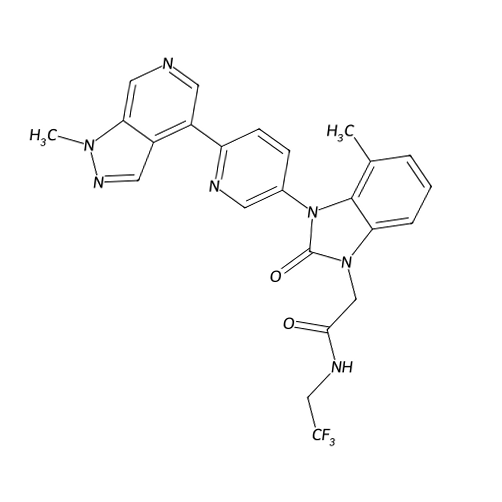 Cc1cccc2c1n(-c1ccc(-c3cncc4c3cnn4C)nc1)c(=O)n2CC(=O)NCC(F)(F)F